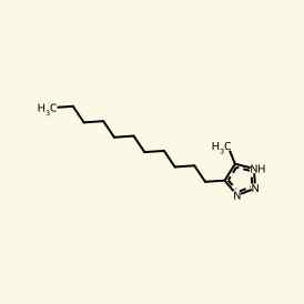 CCCCCCCCCCCc1nn[nH]c1C